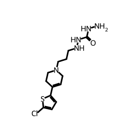 NNC(=O)NNCCCN1CC=C(c2ccc(Cl)s2)CC1